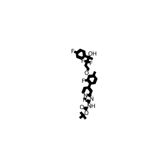 Cc1ccc(-c2ccn3nc(NC(=O)OC(C)(C)C)nc3c2)c(F)c1OCCC(F)(F)C(C)(O)c1ccc(F)cc1